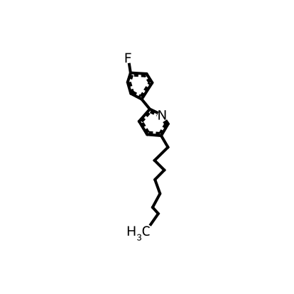 CCCCCCCCc1ccc(-c2ccc(F)cc2)nc1